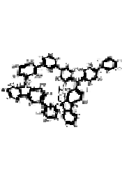 CC1(C)c2ccccc2-c2ccc(N(c3ccc(-c4ccccc4)cc3)c3ccc(-c4cccc(-c5cccc(-n6c7ccccc7c7cc(-c8ccccc8)ccc76)c5)c4)cc3)cc21